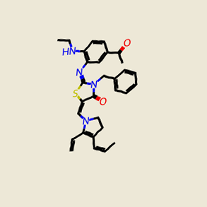 C=CC1=C(/C=C\C)CCN1/C=C1/S/C(=N/c2cc(C(C)=O)ccc2NCC)N(Cc2ccccc2)C1=O